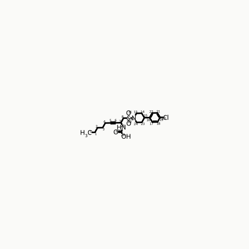 CCCCCC#CC(CS(=O)(=O)N1CCC(c2ccc(Cl)cc2)CC1)NC(=O)O